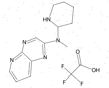 CN(c1cnc2ncccc2n1)C1CCCCN1.O=C(O)C(F)(F)F